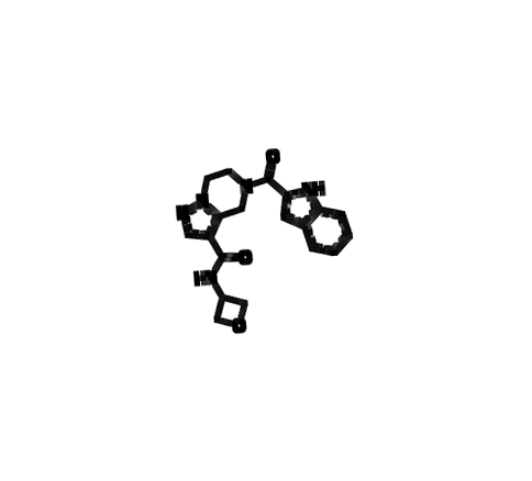 O=C(NC1COC1)c1cnn2c1CN(C(=O)c1cc3ccccc3[nH]1)CC2